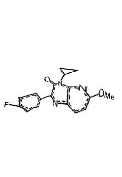 COc1ccc2nc(-c3ccc(F)cc3)c(=O)n(C3CC3)c2n1